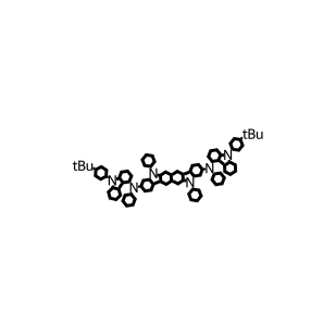 CC(C)(C)c1ccc(-n2c3ccccc3c3c(N(c4ccccc4)c4ccc5c6cc7cc8c(cc7cc6n(-c6ccccc6)c5c4)c4ccc(N(c5ccccc5)c5cccc6c5c5ccccc5n6-c5ccc(C(C)(C)C)cc5)cc4n8-c4ccccc4)cccc32)cc1